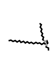 CCCCCCCCCCCCCCCCCc1n(CCC)cc[n+]1CCCCCCCCC